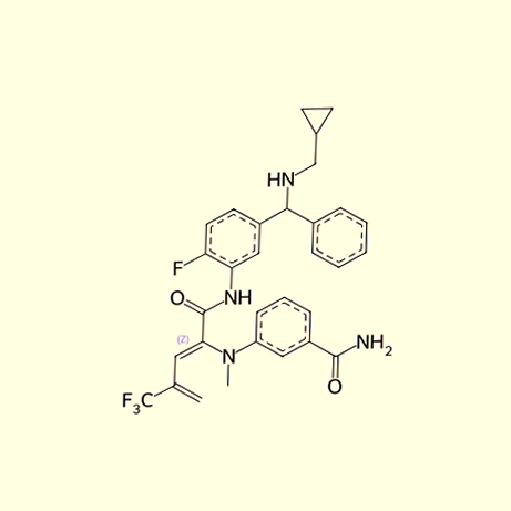 C=C(/C=C(/C(=O)Nc1cc(C(NCC2CC2)c2ccccc2)ccc1F)N(C)c1cccc(C(N)=O)c1)C(F)(F)F